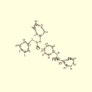 c1ccc(CC(Cc2ccccc2)Oc2ccc(CNc3ccccn3)cc2)cc1